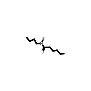 CCCCCC(=O)N(Br)CCCC